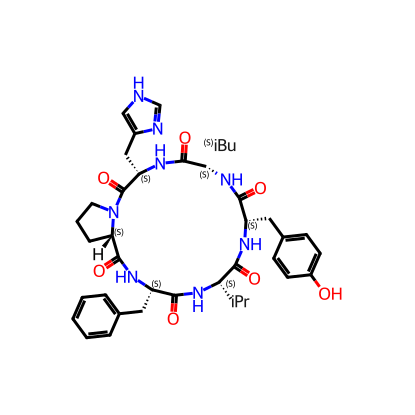 CC[C@H](C)[C@@H]1NC(=O)[C@H](Cc2ccc(O)cc2)NC(=O)[C@H](C(C)C)NC(=O)[C@H](Cc2ccccc2)NC(=O)[C@@H]2CCCN2C(=O)[C@H](Cc2c[nH]cn2)NC1=O